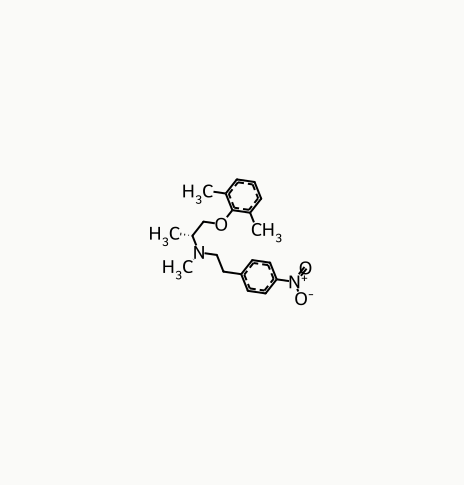 Cc1cccc(C)c1OC[C@@H](C)N(C)CCc1ccc([N+](=O)[O-])cc1